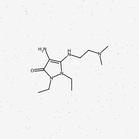 CCn1c(NCCN(C)C)c(N)c(=O)n1CC